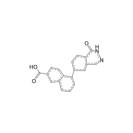 O=C(O)c1ccc2c(-c3ccc4c(=O)[nH]ncc4c3)cccc2c1